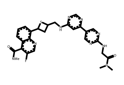 CNC(=O)c1c(F)cnc2c(C3CC(CNc4cc(-c5cnc(NCC(=O)N(C)C)nc5)ncn4)S3)cccc12